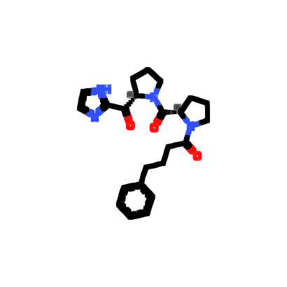 O=C(c1ncc[nH]1)[C@@H]1CCCN1C(=O)[C@@H]1CCCN1C(=O)CCCc1ccccc1